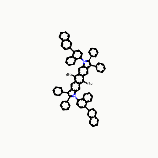 CC(C)(C)c1c2cc3c(-c4ccccc4)c(-c4ccccc4)n(-c4ccc(-c5ccc6ccccc6c5)c5ccccc45)c3cc2c(C(C)(C)C)c2cc3c(-c4ccccc4)c(-c4ccccc4)n(-c4ccc(-c5ccc6ccccc6c5)c5ccccc45)c3cc12